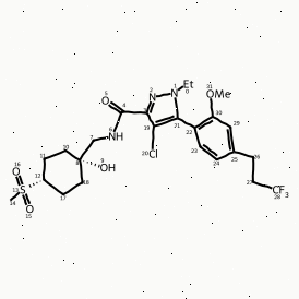 CCn1nc(C(=O)NC[C@]2(O)CC[C@@H](S(C)(=O)=O)CC2)c(Cl)c1-c1ccc(CCC(F)(F)F)cc1OC